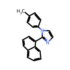 Cc1ccc(-n2ccnc2-c2cccc3ccccc23)cc1